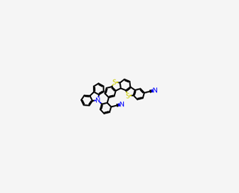 N#Cc1ccc2sc3c(c2c1)C=CC1Sc2ccc(C4C(n5c6ccccc6c6ccccc65)=CC=CC4C#N)cc2C31